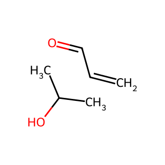 C=CC=O.CC(C)O